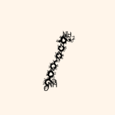 COc1cc(N2CCC(N3CCN(CCC4CCN(c5ccc(C6CCC(=O)NC6=O)cc5)CC4)CC3)CC2)c(C)cc1N